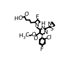 CCOC(=O)C1=C(CN2CC(F)C2CCCC(=O)O)NC(c2nccs2)=N[C@H]1c1ccc(F)cc1Cl